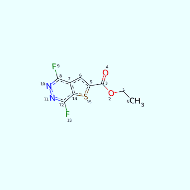 CCOC(=O)c1cc2c(F)nnc(F)c2s1